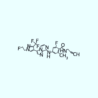 C#CCNC(=O)c1c(C)cc(Nc2nccn3c(-c4cn(CCF)nc4C(F)(F)F)cnc23)cc1F